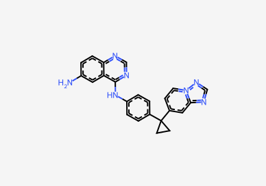 Nc1ccc2ncnc(Nc3ccc(C4(c5ccn6ncnc6c5)CC4)cc3)c2c1